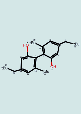 CC(C)(C)Cc1cc(O)c(-c2c(O)cc(CC(C)(C)C)cc2C(C)(C)C)c(C(C)(C)C)c1